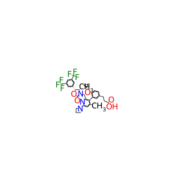 Cc1cc(N2CCC2)nc(CN2C(=O)O[C@H](c3cc(C(F)(F)F)cc(C(F)(F)F)c3)C2C)c1-c1cc(CCC(=O)O)ccc1OC1CC1